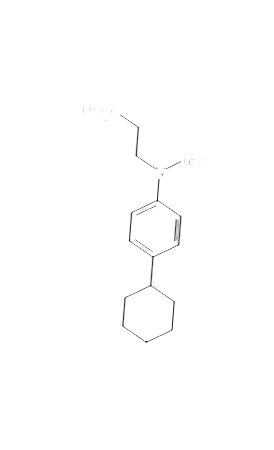 CC(C)(C)N(CCC(=O)O)c1ccc(C2CCCCC2)cc1